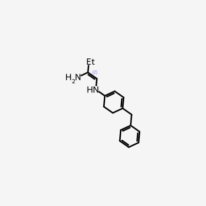 CC/C(N)=C/NC1=CC=C(Cc2ccccc2)CC1